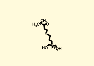 CN(C)C(=O)CCSCCC[Si](C)(CO)CO